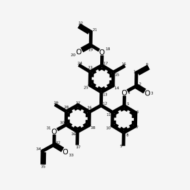 C=CC(=O)Oc1ccc(C)cc1C(c1cc(C)c(OC(=O)C=C)c(C)c1)c1cc(C)c(OC(=O)C=C)c(C)c1